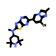 Cc1cn2cc(-c3cnc4nc(N(C)C5CC(C)(C)NC(C)(C)C5)sc4n3)cc(C#N)c2n1